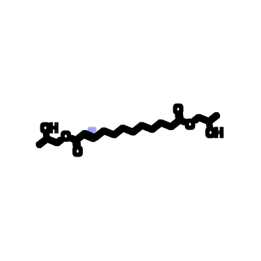 CC(O)COC(=O)/C=C/CCCCCCCCC(=O)OCC(C)O